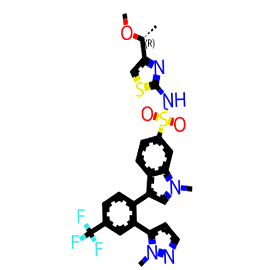 CO[C@H](C)c1csc(NS(=O)(=O)c2ccc3c(-c4ccc(C(F)(F)F)cc4-c4ccnn4C)cn(C)c3c2)n1